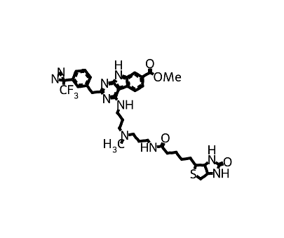 COC(=O)c1ccc2c(c1)[nH]c1nc(Cc3cccc(C4(C(F)(F)F)N=N4)c3)nc(NCCCN(C)CCCNC(=O)CCCCC3SCC4NC(=O)NC43)c12